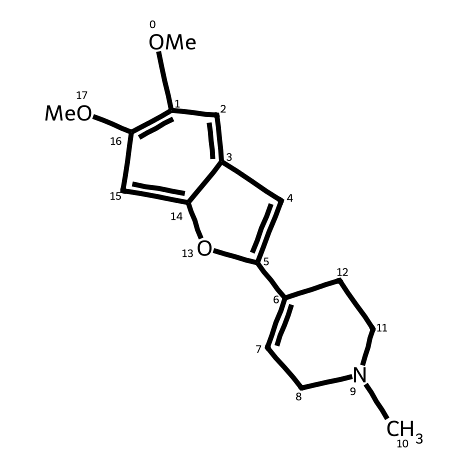 COc1cc2cc(C3=CCN(C)CC3)oc2cc1OC